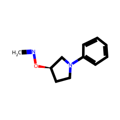 C=NO[C@@H]1CCN(c2ccccc2)C1